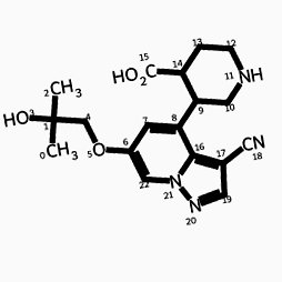 CC(C)(O)COc1cc(C2CNCCC2C(=O)O)c2c(C#N)cnn2c1